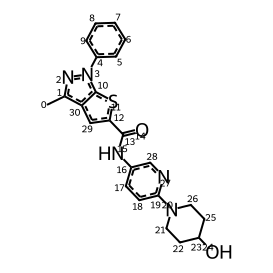 Cc1nn(-c2ccccc2)c2sc(C(=O)Nc3ccc(N4CCC(O)CC4)nc3)cc12